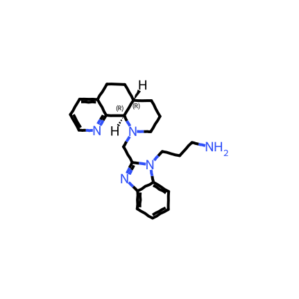 NCCCn1c(CN2CCC[C@H]3CCc4cccnc4[C@@H]32)nc2ccccc21